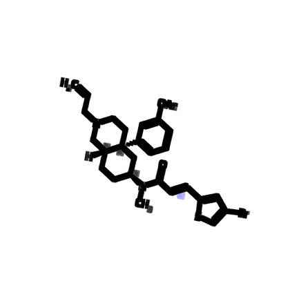 C=CCN1CC[C@@]2(c3cccc(OC(C)=O)c3)C[C@@H](N(C)C(=O)/C=C/c3cc(Br)cs3)CC[C@@H]2C1